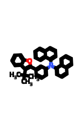 CC(C)(C)c1c(-c2cccc(N(c3cccc4ccccc34)c3cccc4ccccc34)c2)oc2ccccc12